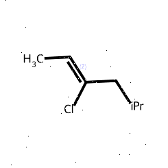 C/C=C(\Cl)CC(C)C